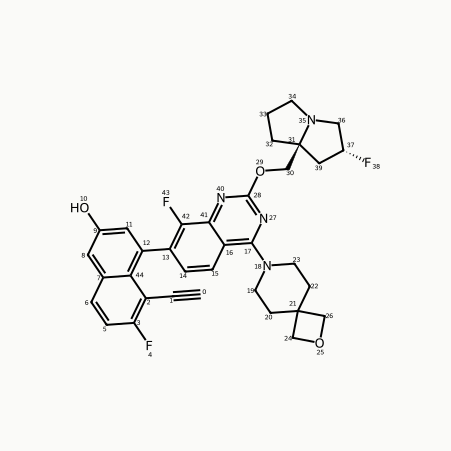 C#Cc1c(F)ccc2cc(O)cc(-c3ccc4c(N5CCC6(CC5)COC6)nc(OC[C@@]56CCCN5C[C@H](F)C6)nc4c3F)c12